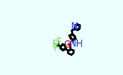 O=C(Nc1ccc(Cc2ccccn2)cc1)C1=C(c2ccc(C(F)(F)F)cc2)CCCC1